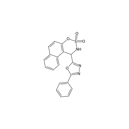 O=S1(=O)NC(c2nnc(-c3ccccc3)o2)c2c(ccc3ccccc23)O1